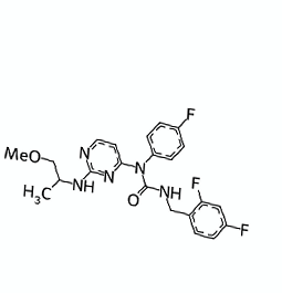 COCC(C)Nc1nccc(N(C(=O)NCc2ccc(F)cc2F)c2ccc(F)cc2)n1